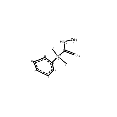 C[N+](C)(C(=O)NO)c1ccccc1